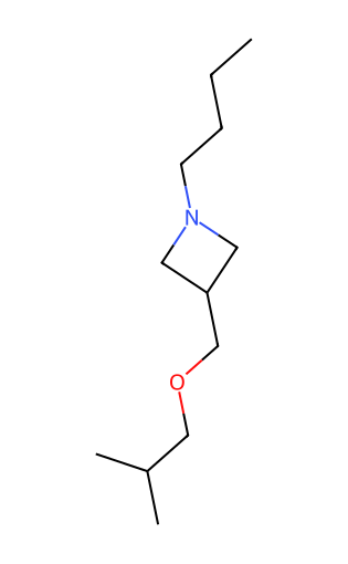 CCCCN1CC(COCC(C)C)C1